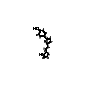 Oc1ccc(-c2ccc(CCc3ncc[nH]3)s2)cc1